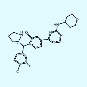 O=c1cc(-c2ccnc(NC3CCOCC3)n2)ccn1C(c1ccc(Cl)c(F)c1)[C@H]1CCCN1